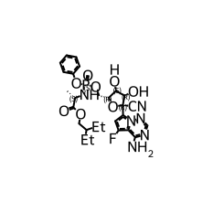 CCC(CC)COC(=O)[C@H](C)N[P@](=O)(OC[C@H]1O[C@@](C#N)(c2cc(F)c3c(N)ncnn23)[C@H](O)[C@@H]1O)Oc1ccccc1